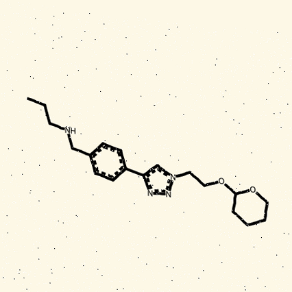 CCCNCc1ccc(-c2cn(CCOC3CCCCO3)nn2)cc1